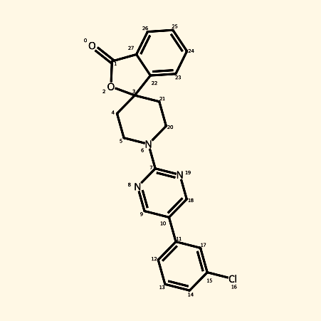 O=C1OC2(CCN(c3ncc(-c4cccc(Cl)c4)cn3)CC2)c2ccccc21